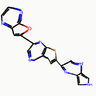 c1cnc2oc(-c3cnc4cc(-c5cnc6c[nH]cc6n5)sc4n3)cc2n1